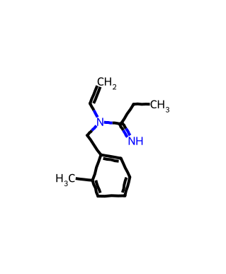 C=CN(Cc1ccccc1C)C(=N)CC